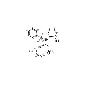 CC(Cc1cccc(Cl)c1)(NC(=O)CN)c1ccccc1.O=C(O)/C=C\C(=O)O